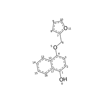 Oc1ccc(OCc2ccco2)c2ccccc12